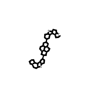 c1ccc2c(c1)ccc1sc3ccc(-c4cc5ccc6cc(-c7ccc8sc9ccc%10ccccc%10c9c8c7)cc7ccc(c4)c5c67)cc3c12